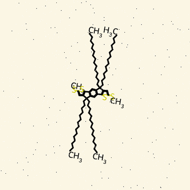 CCCCCCCCCCCCCCCCC1(CCCCCCCCCCCCCCCC)c2cc3c(cc2-c2sc(SC)cc21)C(CCCCCCCCCCCCCCCC)(CCCCCCCCCCCCCCCC)c1cc(SC)sc1-3